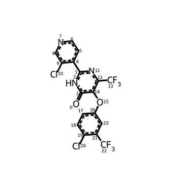 O=c1[nH]c(-c2ccncc2Cl)nc(C(F)(F)F)c1Oc1ccc(Cl)c(C(F)(F)F)c1